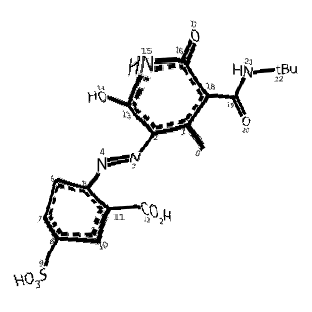 Cc1c(/N=N/c2ccc(S(=O)(=O)O)cc2C(=O)O)c(O)[nH]c(=O)c1C(=O)NC(C)(C)C